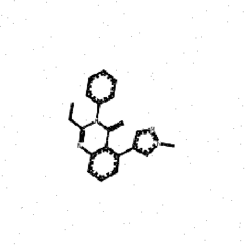 C=C1c2c(cccc2-c2cnn(C)c2)N=C(CC)N1c1ccccc1